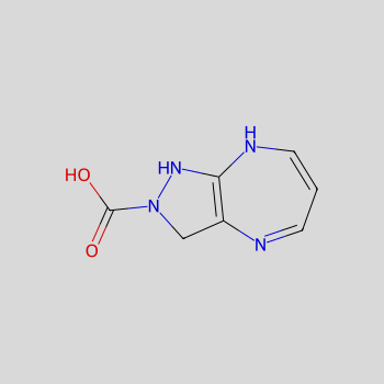 O=C(O)N1CC2=C(NC=CC=N2)N1